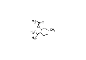 CC(=O)O[C@@H]1CC(C)CC[C@H]1C(C)C